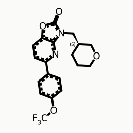 O=c1oc2ccc(-c3ccc(OC(F)(F)F)cc3)nc2n1C[C@@H]1CCCOC1